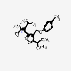 C=C(Cl)/C(=C(\C)Cl)c1noc(C(C)C)c1COc1ccc(C)cc1